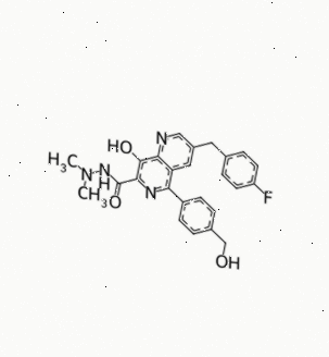 CN(C)NC(=O)c1nc(-c2ccc(CO)cc2)c2cc(Cc3ccc(F)cc3)cnc2c1O